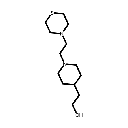 OCCC1CCN(CCN2CCSCC2)CC1